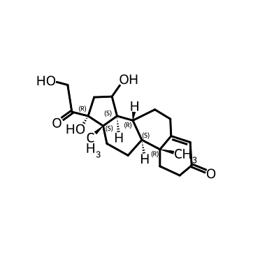 C[C@]12CCC(=O)C=C1CC[C@@H]1[C@@H]2CC[C@@]2(C)[C@H]1C(O)C[C@]2(O)C(=O)CO